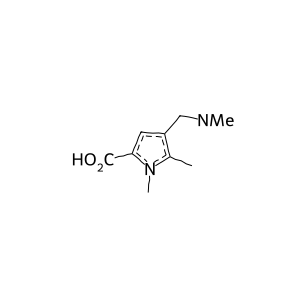 CNCc1cc(C(=O)O)n(C)c1C